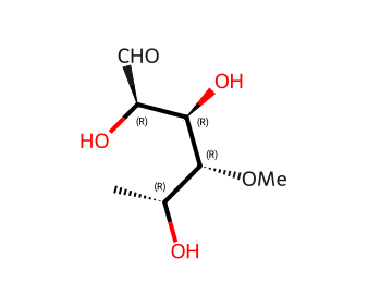 CO[C@@H]([C@H](O)[C@@H](O)C=O)[C@@H](C)O